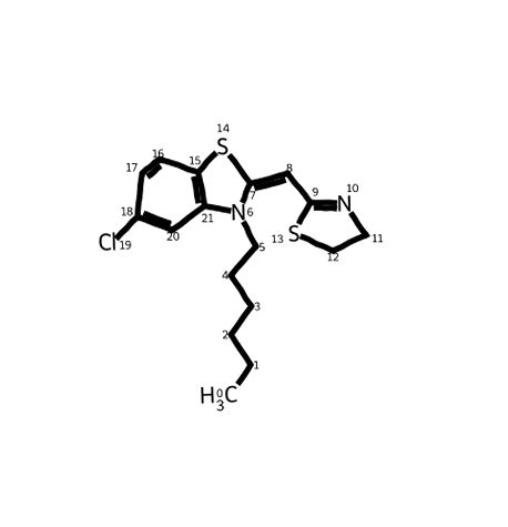 CCCCCCN1C(=CC2=NCCS2)Sc2ccc(Cl)cc21